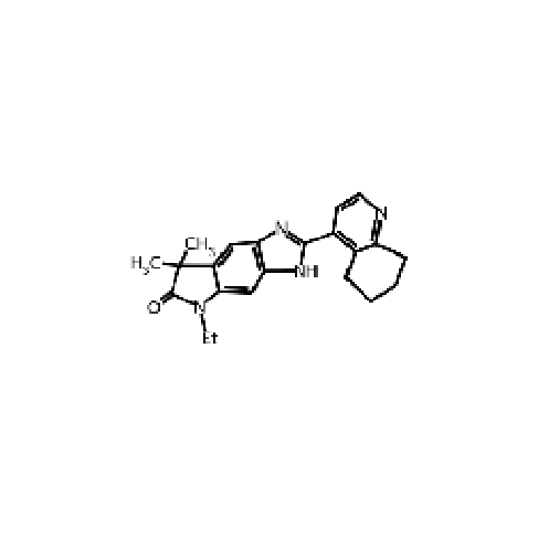 CCN1C(=O)C(C)(C)c2cc3nc(-c4ccnc5c4CCCC5)[nH]c3cc21